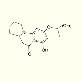 CCCCCCCCC(C)Oc1cc(O)c2c(c1)N1CCCCC1CC2=O